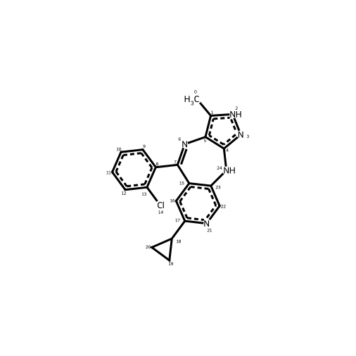 Cc1[nH]nc2c1N=C(c1ccccc1Cl)c1cc(C3CC3)ncc1N2